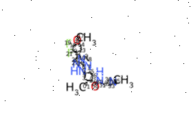 CCc1cc(Nc2nccn3c(-c4ccc(OC)c(F)c4F)cnc23)ccc1C(=O)NCC1CN(C)C1